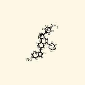 N#Cc1cnn2c(-c3cc(NC4CCOCC4)c(-c4nnc(C56CCC(N)(CC5)CC6)s4)cn3)ccc2c1